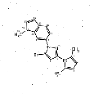 Cc1ccc(C)n1-c1cc(Br)n(-c2ccc3ccn(C)c3c2)n1